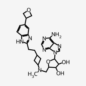 CN(CC1OC(n2cnc3c(N)ncnc32)C(O)C1O)C1CC(CCc2nc3cc(C4COC4)ccc3[nH]2)C1